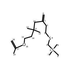 C=C(CCSCS(C)(C)C)CC(C)(C)CCOC(=C)C